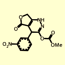 COC(=O)OC1=NNC2=C(C(=O)OC2)C1c1cccc([N+](=O)[O-])c1